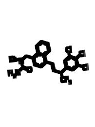 CCN(Cc1ccc(C=CC(c2cc(Cl)c(Cl)c(Cl)c2)C(F)(F)F)c2ccccc12)C(N)=O